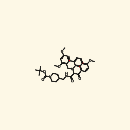 COc1ccc(C(=O)C(C(=O)NCC2CCN(C(=O)OC(C)(C)C)CC2)N(Cc2ccc(OC)cc2OC)c2ccccc2OC)cc1